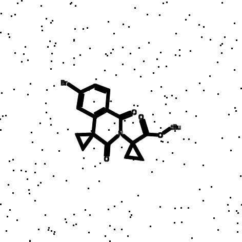 CC(C)(C)OC(=O)C1(N2C(=O)c3ccc(Br)cc3C3(CC3)C2=O)CC1